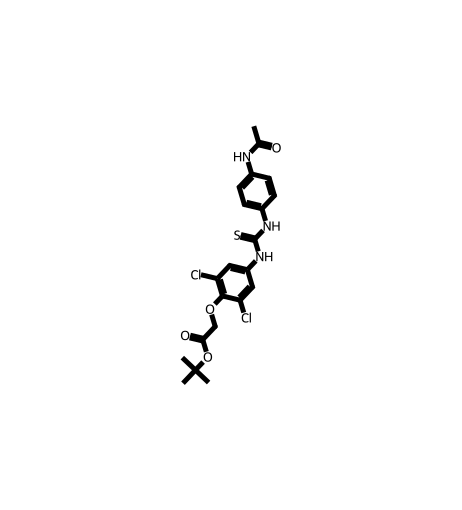 CC(=O)Nc1ccc(NC(=S)Nc2cc(Cl)c(OCC(=O)OC(C)(C)C)c(Cl)c2)cc1